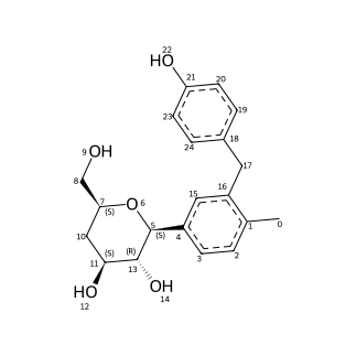 Cc1ccc([C@@H]2O[C@H](CO)C[C@H](O)[C@H]2O)cc1Cc1ccc(O)cc1